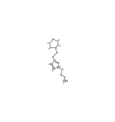 OCCCn1cc(CCC2CCCCC2)nn1